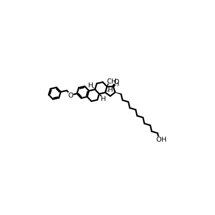 C[C@]12CC[C@@H]3c4ccc(OCc5ccccc5)cc4CC[C@H]3[C@@H]1C[C@H](CCCCCCCCCCCO)C2=O